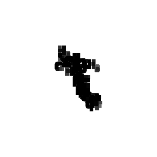 CCc1nc2cc(N)c(Cl)cn2c1C(=O)Nc1cnc(-c2nc3n(n2)CCN(S(=O)(=O)C(F)(F)F)C3)c(F)c1